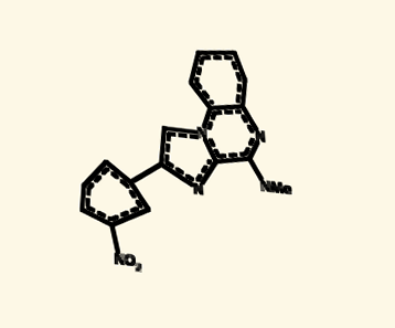 CNc1nc2ccccc2n2cc(-c3cccc([N+](=O)[O-])c3)nc12